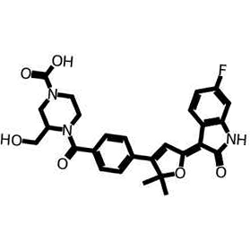 CC1(C)OC(=C2C(=O)Nc3cc(F)ccc32)C=C1c1ccc(C(=O)N2CCN(C(=O)O)CC2CO)cc1